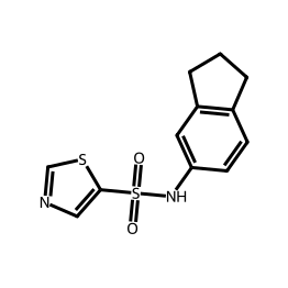 O=S(=O)(Nc1ccc2c(c1)CCC2)c1cncs1